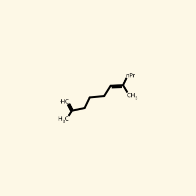 [CH]=C(C)CCC/C=C(\C)CCC